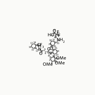 COc1cc(CN(C(=O)CCC(=O)NCc2ccccc2C(F)(F)F)c2ccccc2Oc2cccc(CN)c2)cc(OC)c1OC.O=C(O)C(F)(F)F